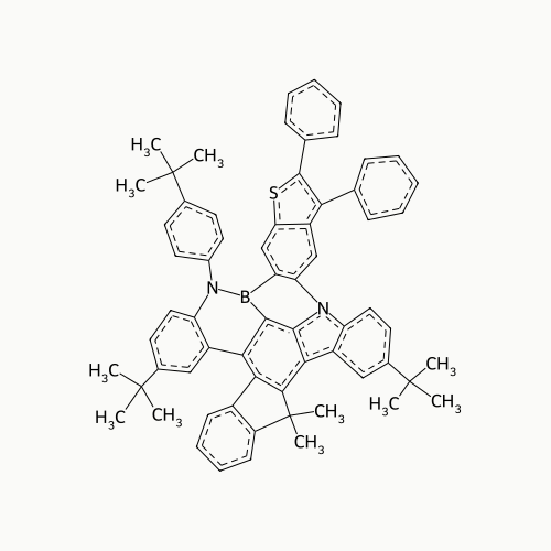 CC(C)(C)c1ccc(N2B3c4cc5sc(-c6ccccc6)c(-c6ccccc6)c5cc4-n4c5ccc(C(C)(C)C)cc5c5c6c(c(c3c54)-c3cc(C(C)(C)C)ccc32)-c2ccccc2C6(C)C)cc1